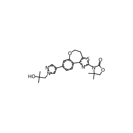 CC(C)(O)Cn1cc(-c2ccc3c(c2)OCCc2sc(N4C(=O)OCC4(C)C)nc2-3)cn1